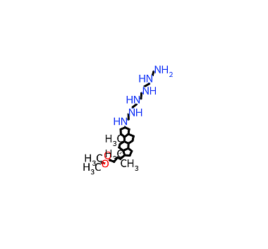 CC(C)OC(=O)CC[C@@H](C)C1CCC2C3CCC4C[C@@H](NCCNCCNCCNCCNCCN)CC[C@]4(C)C3CC[C@@]21C